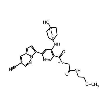 COCCNC(=O)CNC(=O)c1cnc(-c2ccc3cc(C#N)cnn23)cc1NC12CCC(O)(CC1)CC2